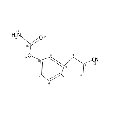 CC(C#N)Cc1cccc(OC(N)=O)c1